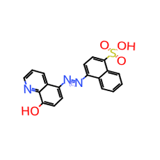 O=S(=O)(O)c1ccc(/N=N/c2ccc(O)c3ncccc23)c2ccccc12